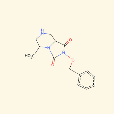 O=C(O)C1CNCC2C(=O)N(OCc3ccccc3)C(=O)N12